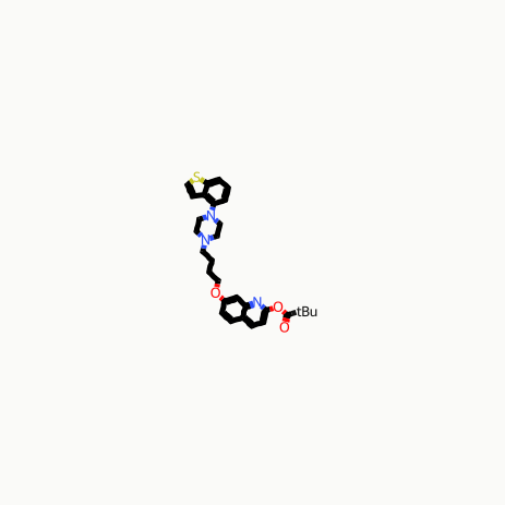 CC(C)(C)C(=O)Oc1ccc2ccc(OCCCCN3CCN(c4cccc5sccc45)CC3)cc2n1